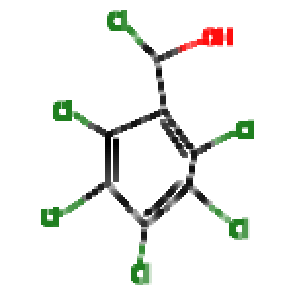 OC(Cl)c1c(Cl)c(Cl)c(Cl)c(Cl)c1Cl